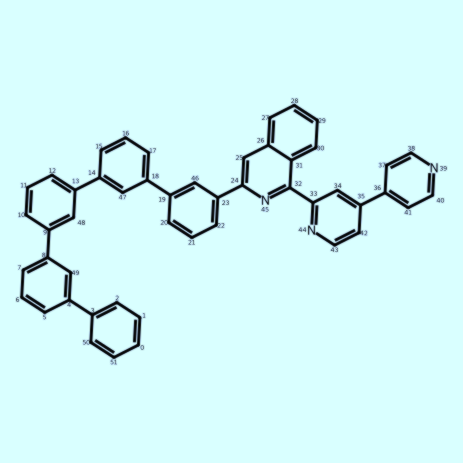 c1ccc(-c2cccc(-c3cccc(-c4cccc(-c5cccc(-c6cc7ccccc7c(-c7cc(-c8ccncc8)ccn7)n6)c5)c4)c3)c2)cc1